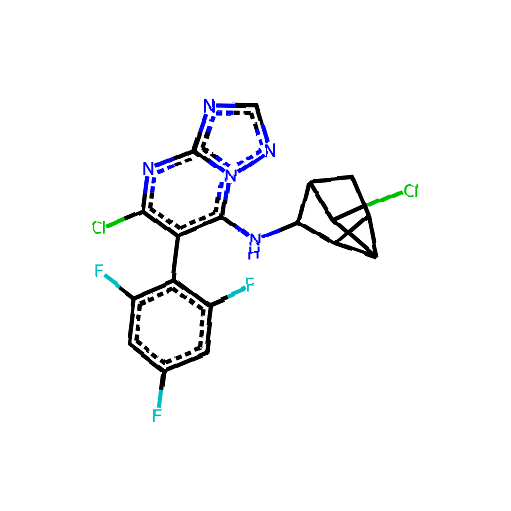 Fc1cc(F)c(-c2c(Cl)nc3ncnn3c2NC2C3CC4C(C3Cl)C42)c(F)c1